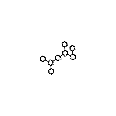 c1ccc(-c2cc(-c3ccc(-c4nc(-c5ccccc5)cc(-c5ccccc5)n4)cn3)nc(-c3ncccc3-c3ccccc3)c2)cc1